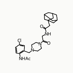 CC(=O)Nc1ccc(Cl)cc1CN1CCN(C(=O)CNC(=O)CC23CC4CC(CC(C4)C2)C3)CC1